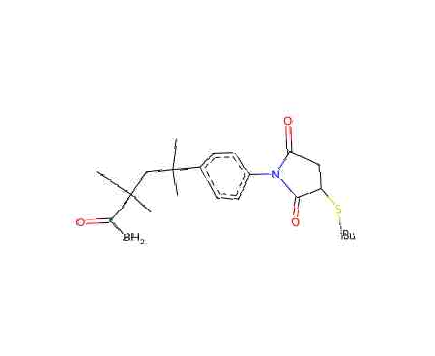 BC(=O)C(C)(C)CC(C)(C)c1ccc(N2C(=O)CC(SC(C)CC)C2=O)cc1